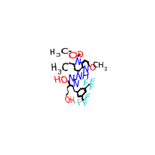 CCOC(=O)N1c2ccc(OC)nc2C(Nc2nc(O)c(CCCO)c(Cc3cc(C(F)(F)F)cc(C(F)(F)F)c3)n2)CC1CC